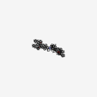 Cc1cc(N2C(=O)c3ccc4c5c(ccc(c35)C2=O)C(=O)N(c2cc(C3C(c5ccccc5)=Cc5ccccc53)cc(C3C(c5ccccc5)=Cc5ccccc53)c2)C4=O)ccc1/C=C/c1ccc(N2C(=O)c3ccc4c5c(ccc(c35)C2=O)C(=O)N(c2ccccc2C2C(c3ccccc3)=Cc3ccccc32)C4=O)cc1S(=O)(=O)O